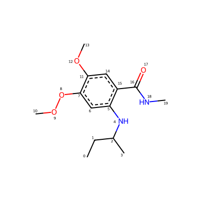 CCC(C)Nc1cc(OOC)c(OC)cc1C(=O)NC